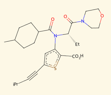 CC[C@@H](C(=O)N1CCOCC1)N(C(=O)C1CCC(C)CC1)c1cc(C#CC(C)C)sc1C(=O)O